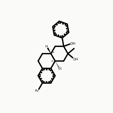 CC[C@@]12CC(C)(O)C(O)(c3ccccc3)C[C@H]1CCc1cc(C(C)=O)ccc12